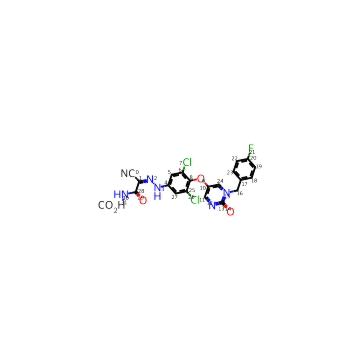 N#CC(=NNc1cc(Cl)c(Oc2cnc(=O)n(Cc3ccc(F)cc3)c2)c(Cl)c1)C(=O)NC(=O)O